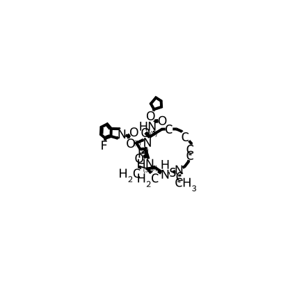 C=C[C@@H]1C[C@@]12NC(=O)[C@@H]1C[C@@H](OC(=O)N3Cc4cccc(F)c4C3)CN1C(=O)[C@@H](NC(=O)OC1CCCC1)CCCCCCCCCCN(CC)SNC2=C